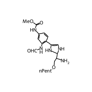 CCCCCOCC(N)C1NC=C(c2ccc(NC(=O)OC)cc2NC=O)N1